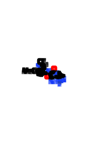 COc1ccc(-c2nc(C(=O)N3Cc4cnn(C)c4C3)c(CN)o2)c2ccc(C(F)(F)F)nc12